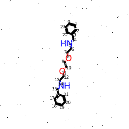 c1ccc(CNCCOCCOCCNCc2ccccc2)cc1